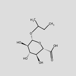 CCC(C)O[C@@H]1O[C@H](C(=O)O)[C@@H](O)[C@H](O)[C@H]1O